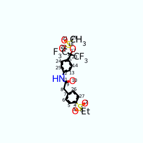 CCS(=O)(=O)c1ccc(CC(=O)Nc2ccc(C(OS(C)(=O)=O)(C(F)(F)F)C(F)(F)F)cc2)cc1